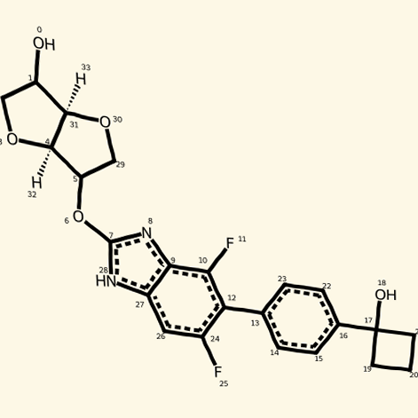 OC1CO[C@@H]2C(Oc3nc4c(F)c(-c5ccc(C6(O)CCC6)cc5)c(F)cc4[nH]3)CO[C@H]12